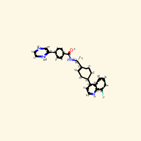 C[C@@H](NC(=O)c1ccc(-c2cnccn2)cc1)C1CCC(c2ccnc3c(F)cccc23)CC1